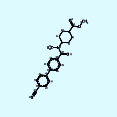 COC(=O)C1CCC(N(C)C(=O)c2ccc(-c3ccc(C#N)cc3)cc2)CC1